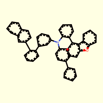 c1ccc(-c2ccc(N(c3cccc(-c4ccccc4-c4ccc5ccccc5c4)c3)c3ccccc3-c3cccc4oc5ccccc5c34)cc2)cc1